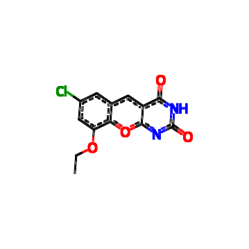 CCOc1cc(Cl)cc2cc3c(=O)[nH]c(=O)nc-3oc12